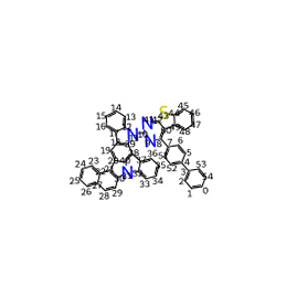 c1ccc(-c2ccc(-c3nc(-n4c5ccccc5c5cc6c7c8ccccc8ccc7n7c8ccccc8c(c54)c67)nc4sc5ccccc5c34)cc2)cc1